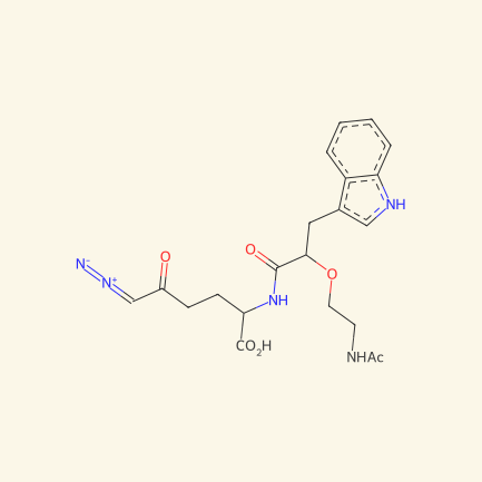 CC(=O)NCCOC(Cc1c[nH]c2ccccc12)C(=O)NC(CCC(=O)C=[N+]=[N-])C(=O)O